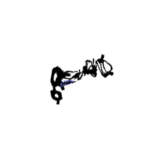 C/C(=C/N(C)c1ccc(N2CC(C)OC(C)C2)nc1)c1c(C=O)cccc1-c1ccc(C)cc1